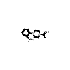 COc1ccccc1N1CCN(C(C)=N)CC1